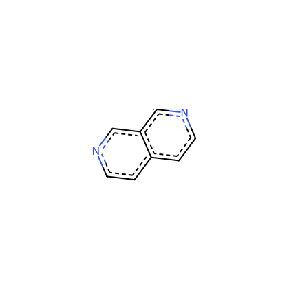 [c]1nccc2ccncc12